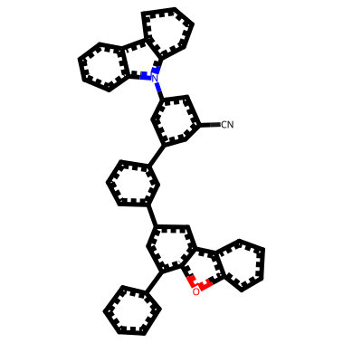 N#Cc1cc(-c2cccc(-c3cc(-c4ccccc4)c4oc5ccccc5c4c3)c2)cc(-n2c3ccccc3c3ccccc32)c1